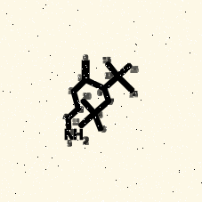 C=C(CCCN)C(CC(C)(C)C)C(C)(C)C